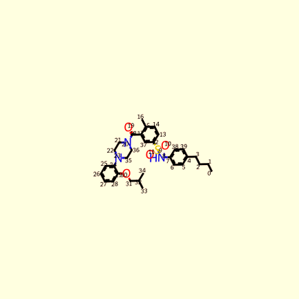 CCCCc1ccc(NS(=O)(=O)c2ccc(C)c(C(=O)N3CCN(c4ccccc4OCC(C)C)CC3)c2)cc1